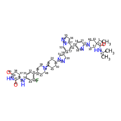 CCC1(C(=O)NC(C)C)CCN(c2ccc(-c3cc(-c4cnn([C@H]5CC[C@H](N6CCC(c7ccc(NC8CCC(=O)NC8=O)cc7F)CC6)CC5)c4)cn4nccc34)cn2)CC1